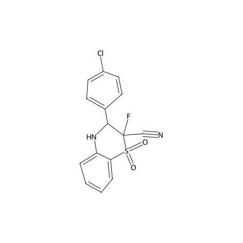 N#CC1(F)C(c2ccc(Cl)cc2)Nc2ccccc2S1(=O)=O